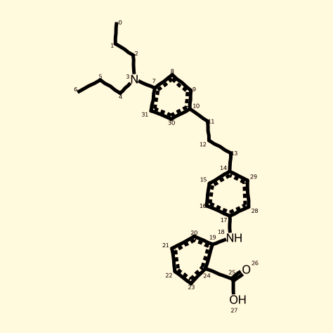 CCCN(CCC)c1ccc(CCCc2ccc(Nc3ccccc3C(=O)O)cc2)cc1